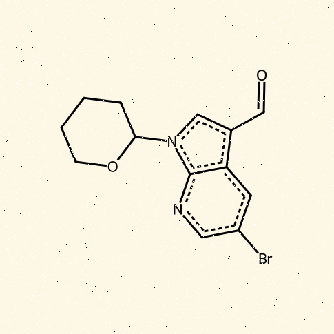 O=Cc1cn(C2CCCCO2)c2ncc(Br)cc12